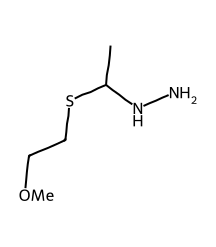 COCCSC(C)NN